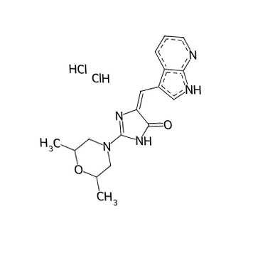 CC1CN(C2=NC(=Cc3c[nH]c4ncccc34)C(=O)N2)CC(C)O1.Cl.Cl